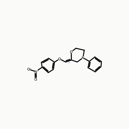 O=[N+]([O-])c1ccc(O/C=C2/CN(c3ccccc3)CCO2)cc1